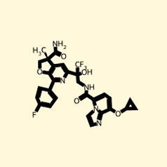 C[C@]1(C(N)=O)COc2c1cc(C(O)(CNC(=O)c1ccc(OC3CC3)c3nccn13)C(F)(F)F)nc2-c1ccc(F)cc1